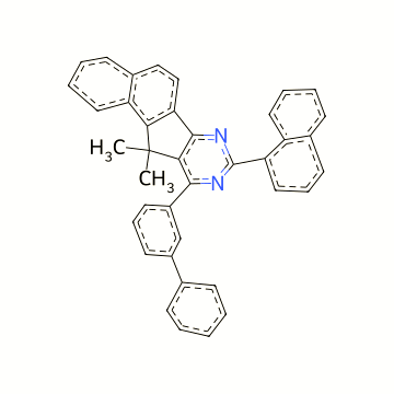 CC1(C)c2c(-c3cccc(-c4ccccc4)c3)nc(-c3cccc4ccccc34)nc2-c2ccc3ccccc3c21